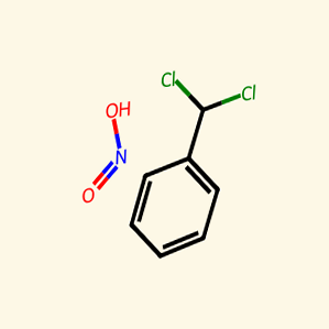 ClC(Cl)c1ccccc1.O=NO